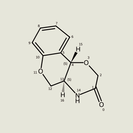 O=C1CO[C@H]2c3ccccc3OC[C@@H]2N1